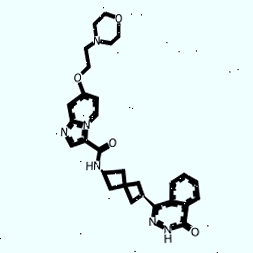 O=C(N[C@H]1CC2(C1)C[C@H](c1n[nH]c(=O)c3ccccc31)C2)c1cnc2cc(OCCN3CCOCC3)ccn12